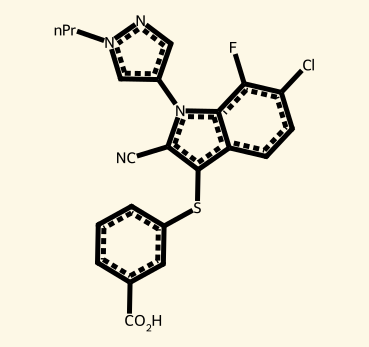 CCCn1cc(-n2c(C#N)c(Sc3cccc(C(=O)O)c3)c3ccc(Cl)c(F)c32)cn1